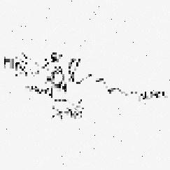 CCCCCCCCCCCCCCCCCCNc1nc(N(CCCC)C2CC(C)(C)NC(C)(C)C2)nc(N(CCCC)C2CC(C)(C)NC(C)(C)C2)n1